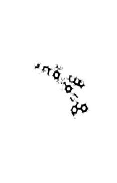 CN(C1CCC(Nc2ccc(S(=O)(=O)NC(=O)c3ccc(N4CCN(CC5=C(c6ccc(Cl)cc6)CC(C)(C)CC5)CC4)cc3N3CCOc4nc5[nH]ccc5cc43)cc2[N+](=O)[O-])CC1)C1COC1